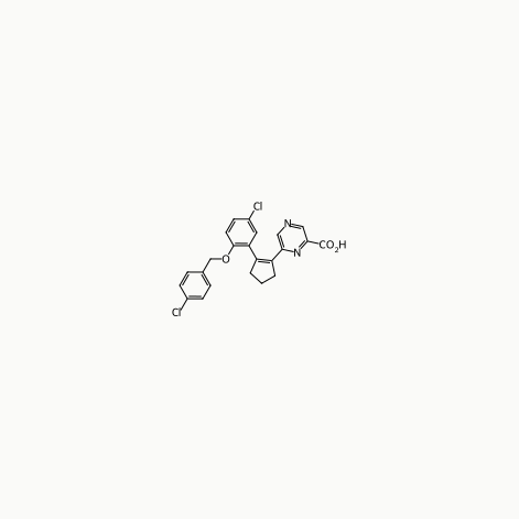 O=C(O)c1cncc(C2=C(c3cc(Cl)ccc3OCc3ccc(Cl)cc3)CCC2)n1